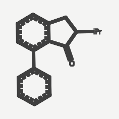 CC(C)C1Cc2cccc(-c3ccccc3)c2C1=O